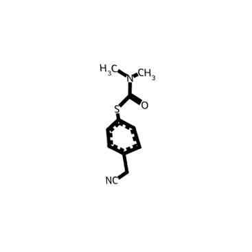 CN(C)C(=O)Sc1ccc(CC#N)cc1